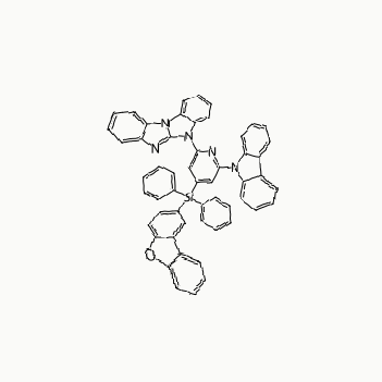 c1ccc([Si](c2ccccc2)(c2cc(-n3c4ccccc4c4ccccc43)nc(-n3c4ccccc4n4c5ccccc5nc34)c2)c2ccc3oc4ccccc4c3c2)cc1